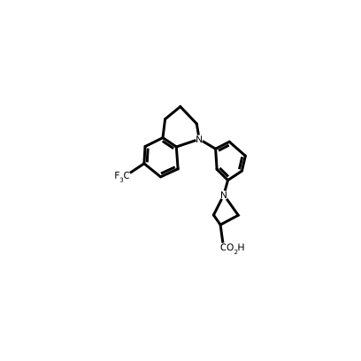 O=C(O)C1CN(c2cccc(N3CCCc4cc(C(F)(F)F)ccc43)c2)C1